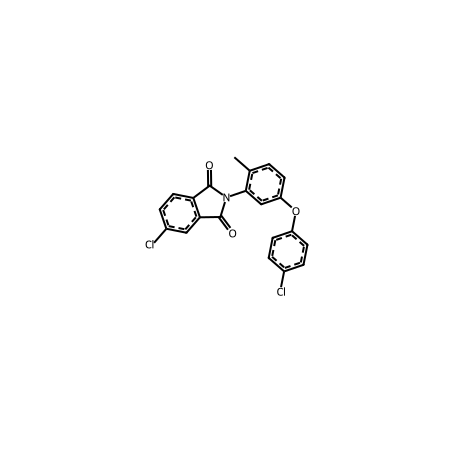 Cc1ccc(Oc2ccc(Cl)cc2)cc1N1C(=O)c2ccc(Cl)cc2C1=O